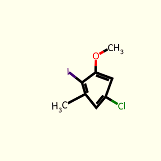 COc1cc(Cl)cc(C)c1I